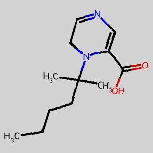 CCCCC(C)(C)N1CC=NC=C1C(=O)O